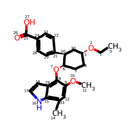 CCO[C@@H]1CC[C@H](Oc2c(OC)cc(C)c3[nH]ccc23)[C@@H](c2ccc(C(=O)O)cc2)C1